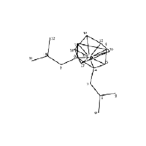 CC(C)C[C]12[CH]3[CH]4[CH]5[C]1(CC(C)C)[Fe]43521678[CH]2[CH]1[CH]6[CH]7[CH]28